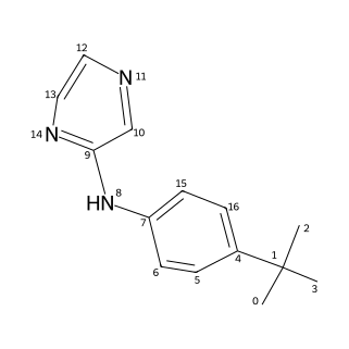 CC(C)(C)c1ccc(Nc2cnccn2)cc1